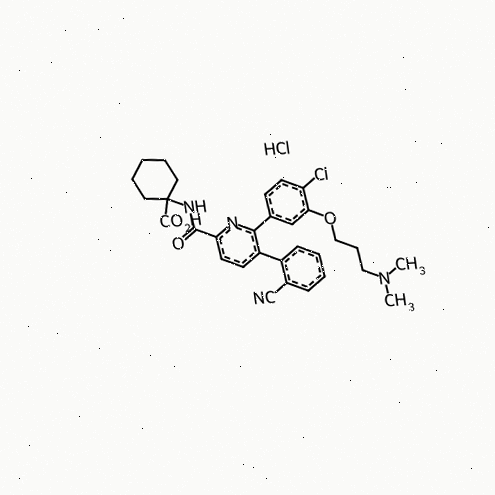 CN(C)CCCOc1cc(-c2nc(C(=O)NC3(C(=O)O)CCCCC3)ccc2-c2ccccc2C#N)ccc1Cl.Cl